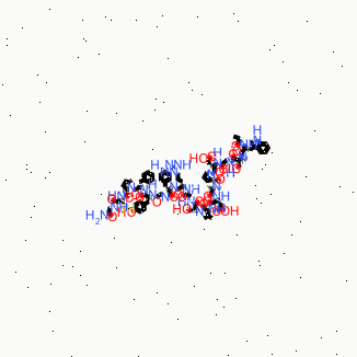 CCC(=O)N[C@H](Cc1c[nH]c2ccccc12)C(=O)N(C)[C@@H](CO)C(=O)NCC(=O)N[C@@H](CC(=O)O)C(=O)N1CCC[C@H]1C(=O)N(C)[C@@H](C)C(=O)N[C@@H](CC(=O)O)C(=O)N[C@H](C(=O)N(C)[C@@H](CO)C(=O)NCC(=O)N[C@@H](CCCNC(=N)N)C(=O)N(C)[C@@H](Cc1ccccc1)C(=O)N(C)CC(=O)N[C@@H](Cc1ccc(O)cc1)C(=O)N(C)[C@@H](Cc1ccccc1)C(=O)N1CCC[C@H]1C(=O)N[C@@H](CS)C(=O)NCC(N)=O)C(C)C